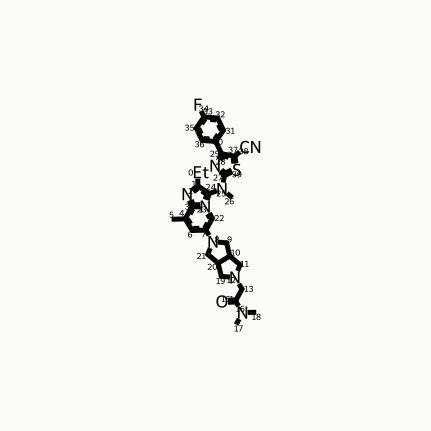 CCc1nc2c(C)cc(N3CC4CN(CC(=O)N(C)C)CC4C3)cn2c1N(C)c1nc(-c2ccc(F)cc2)c(C#N)s1